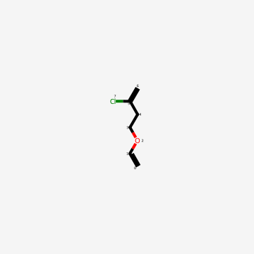 C=COCCC(=C)Cl